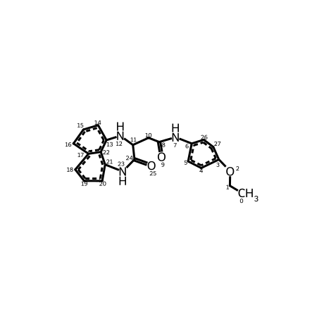 CCOc1ccc(NC(=O)CC2Nc3cccc4cccc(c34)NC2=O)cc1